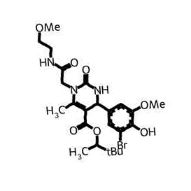 COCCNC(=O)CN1C(=O)NC(c2cc(Br)c(O)c(OC)c2)C(C(=O)OC(C)C(C)(C)C)=C1C